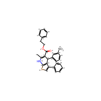 CC1=C(C(=O)OCCc2ccccc2)C(c2cccc([N+](=O)[O-])c2)c2c(-c3ccccc3)csc2N1